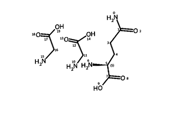 NC(=O)CC[C@H](N)C(=O)O.NCC(=O)O.NCC(=O)O